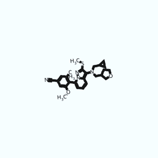 COc1cc(C#N)cc(C)c1-c1cccc2c(N(CC3CC3)CC3CCOC3)c(SC)nn12